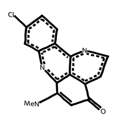 CNC1=CC(=O)c2ccnc3c2c1nc1cc(Cl)ccc13